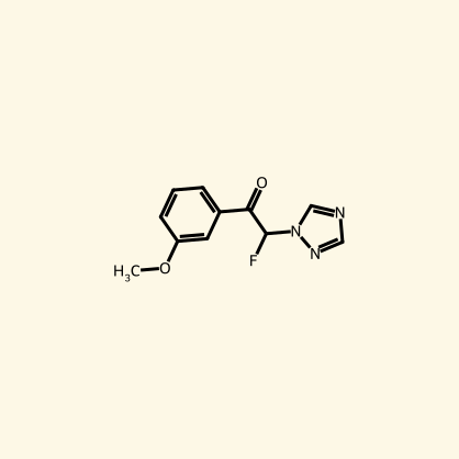 COc1cccc(C(=O)C(F)n2cncn2)c1